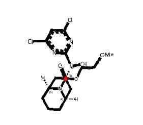 COCCOC(=O)N1[C@@H]2CCC[C@H]1C[C@H](N(C)c1nc(Cl)cc(Cl)n1)C2